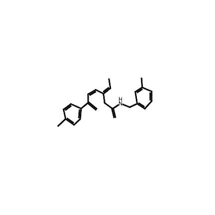 C=C(CC(/C=C\C(=C)c1ccc(C)cc1)=C/C)NCc1cccc(C)c1